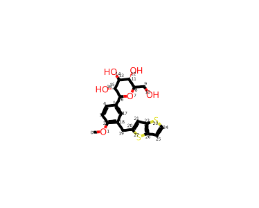 COc1ccc(C2OC(CO)[C@@H](O)C(O)[C@H]2O)cc1Cc1cc2sccc2s1